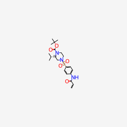 C=CC(=O)Nc1ccc(S(=O)(=O)N2CCN(C(=O)OC(C)(C)C)[C@@H](C(C)C)C2)cc1